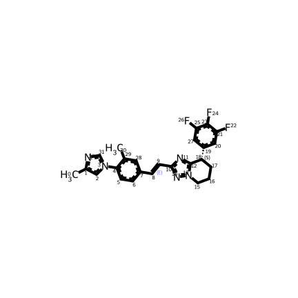 Cc1cn(-c2ccc(/C=C/c3nc4n(n3)CCC[C@H]4c3cc(F)c(F)c(F)c3)cc2C)cn1